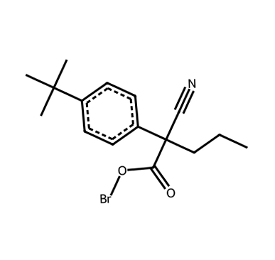 CCCC(C#N)(C(=O)OBr)c1ccc(C(C)(C)C)cc1